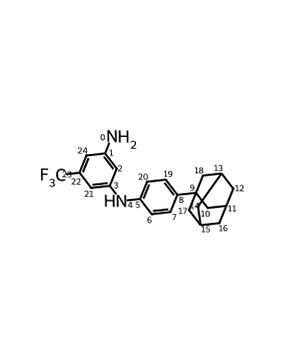 Nc1cc(Nc2ccc(C34CC5CC(CC(C5)C3)C4)cc2)cc(C(F)(F)F)c1